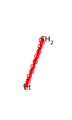 C=CC(=O)OCCCCOCCCCOCCCCOCCCCOCCCCOCCCCOCCCCOCCCCOCCCCOCC